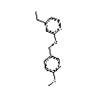 CCc1ccnc(OCc2ccc(OC)cc2)c1